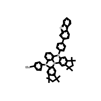 CC(C)(C)c1ccc(N2c3cc4c(cc3B3c5cc6c(cc5N(c5ccc(-c7ccc8c(c7)oc7ccccc78)cc5)c5cccc2c53)C(C)(C)CC6(C)C)C(C)(C)CC4(C)C)cc1